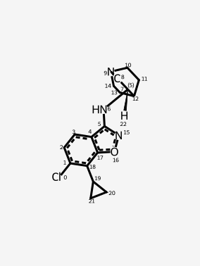 Clc1ccc2c(N[C@@H]3CN4CCC3CC4)noc2c1C1CC1